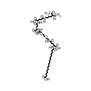 CNC(CCCCNC(=O)CCC(NC(=O)CC[C@@H](NC(=O)COCCOCCNC(=O)CCC(NC(=O)CCCCCCCCCCCCCCCCC(=O)O)C(=O)O)C(=O)O)C(=O)O)C(C)=O